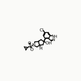 O=S(=O)(C1CC1)N1CC2CC(O)(c3cc(Cl)cc4[nH]ncc34)C[C@@H]2C1